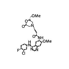 COC[C@@H]1CN(CC=CC(=O)Nc2cc3c(Nc4ccc(F)c(Cl)c4)ncnc3cc2OC)CC(=O)O1